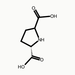 O=C(O)C1CC[C@@H](C(=O)O)N1